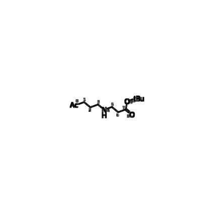 CC(=O)CCCNCCC(=O)OC(C)(C)C